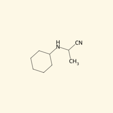 CC(C#N)NC1CCCCC1